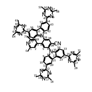 Cc1cc(-c2cc(-n3c4ccc(-c5nc(C)nc(C)n5)cc4c4cc(-c5nc(C)nc(C)n5)ccc43)c(C#N)cc2-n2c3ccc(-c4nc(C)nc(C)n4)cc3c3cc(-c4nc(C)nc(C)n4)ccc32)cc(C)n1